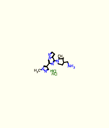 CC1CC(CN)CCN1c1nc(-c2cnn(C)c2)cn2nccc12.Cl.Cl